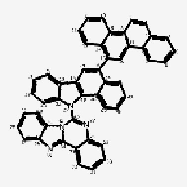 c1ccc2c(c1)ccc1c3ccccc3c(-c3cc4c5ccccc5n(-c5nc6ccccc6c6nc7ccccc7n56)c4c4ccccc34)cc21